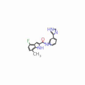 Cc1ccc(F)c2cc(C(=O)Nc3cccc(-c4c[nH]cn4)c3)[nH]c12